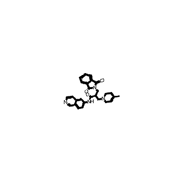 CC1=CCN(CC(CN2C(=O)c3ccccc3C2=O)C(=O)Nc2ccc3cnccc3c2)CC1